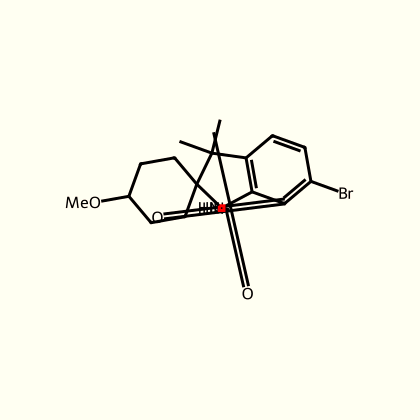 COC1CCC2(CC1)C(C)(C)c1ccc(Br)cc1C21NC(=O)NC1=O